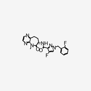 CN1C(=O)[C@@H](NC(=O)c2nn(Cc3ccccc3F)cc2F)CCc2nccnc21